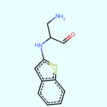 NCC(C=O)Nc1cc2ccccc2s1